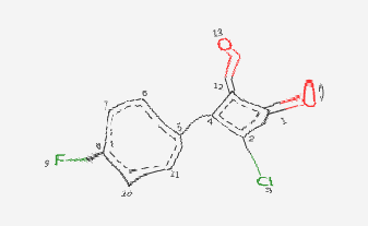 O=c1c(Cl)c(-c2ccc(F)cc2)c1=O